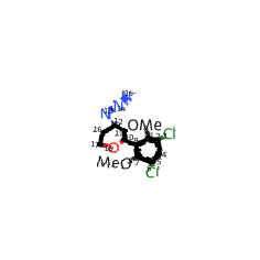 COc1c(Cl)[c]c(Cl)c(OC)c1C1C[C@@H](N=[N+]=[N-])CCO1